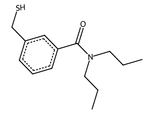 CCCN(CCC)C(=O)c1cccc(CS)c1